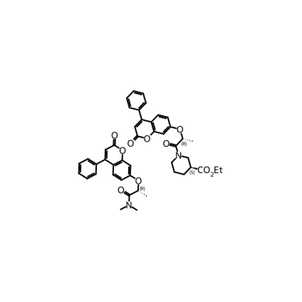 CCOC(=O)[C@H]1CCCN(C(=O)[C@@H](C)Oc2ccc3c(-c4ccccc4)cc(=O)oc3c2)C1.C[C@@H](Oc1ccc2c(-c3ccccc3)cc(=O)oc2c1)C(=O)N(C)C